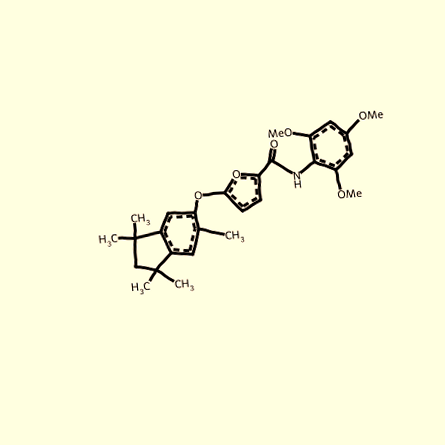 COc1cc(OC)c(NC(=O)c2ccc(Oc3cc4c(cc3C)C(C)(C)CC4(C)C)o2)c(OC)c1